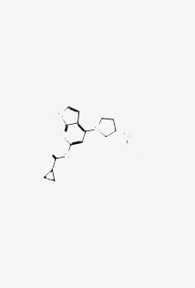 O=C(O)N[C@H]1CCN(c2cc(NC(=O)C3CC3)nc3[nH]ccc23)C1